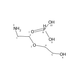 NCCOCCO.O=[PH](O)O